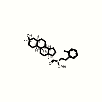 CON(CCc1ccccc1C)C(=O)[C@H]1CC[C@H]2[C@@H]3CC[C@@H]4C[C@](C)(O)CC[C@@H]4[C@H]3CC[C@]12C